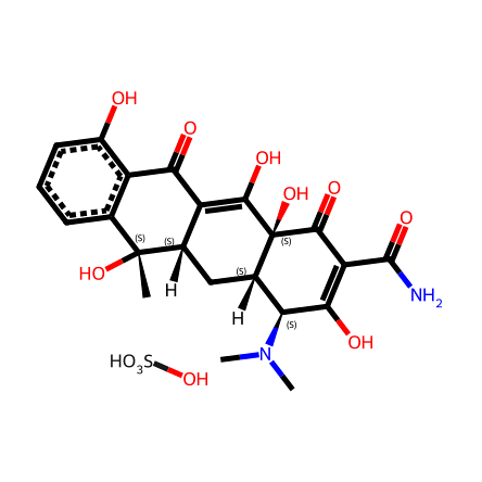 CN(C)[C@@H]1C(O)=C(C(N)=O)C(=O)[C@@]2(O)C(O)=C3C(=O)c4c(O)cccc4[C@@](C)(O)[C@H]3C[C@@H]12.O=S(=O)(O)O